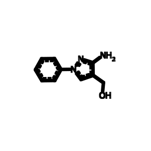 Nc1nn(-c2ccccc2)cc1CO